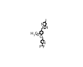 COc1cc(Cn2cnc3cc(I)cnc32)ccc1OCc1ccc(C(F)F)nc1